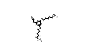 CCCCCCOc1cc(OCCCCCC)nc(CC#N)n1